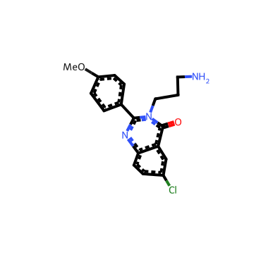 COc1ccc(-c2nc3ccc(Cl)cc3c(=O)n2CCCN)cc1